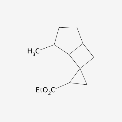 CCOC(=O)C1CC12CC1CCC(C)C12